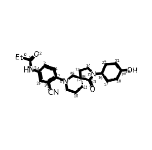 CCC(=O)Nc1ccc(N2CCC[C@@]3(CCN(C4CCC(O)CC4)C3=O)C2)c(C#N)c1